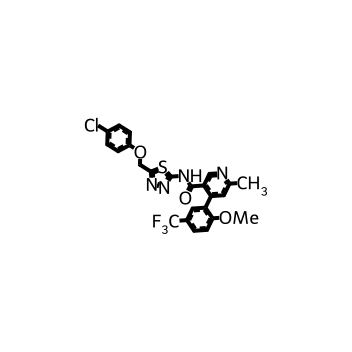 COc1ccc(C(F)(F)F)cc1-c1cc(C)ncc1C(=O)Nc1nnc(COc2ccc(Cl)cc2)s1